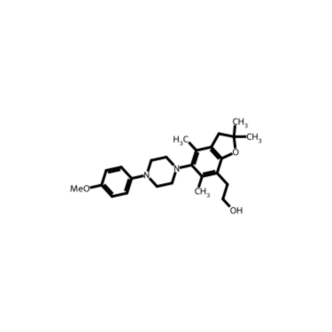 COc1ccc(N2CCN(c3c(C)c(CCO)c4c(c3C)CC(C)(C)O4)CC2)cc1